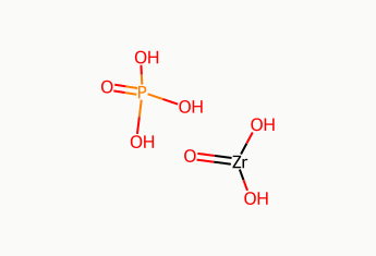 O=P(O)(O)O.[O]=[Zr]([OH])[OH]